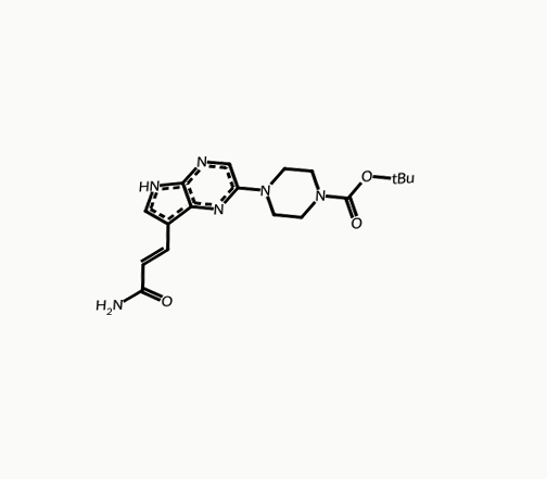 CC(C)(C)OC(=O)N1CCN(c2cnc3[nH]cc(C=CC(N)=O)c3n2)CC1